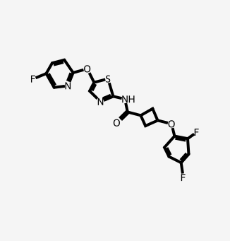 O=C(Nc1ncc(Oc2ccc(F)cn2)s1)C1CC(Oc2ccc(F)cc2F)C1